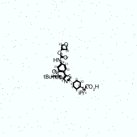 CC(C)N(C(=O)O)[C@H]1CC[C@H](c2ncc(-c3ccc(NC(=O)OC4COC4)cc3S(=O)(=O)NC(C)(C)C)s2)CC1